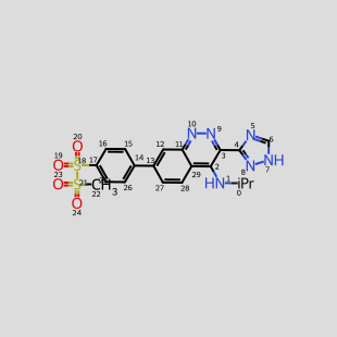 CC(C)Nc1c(-c2nc[nH]n2)nnc2cc(-c3ccc(S(=O)(=O)S(C)(=O)=O)cc3)ccc12